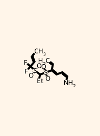 C=C/C(=C\C=C/N)S(=O)(=O)C(CC)S(=O)(=O)C(F)(F)/C=C/C